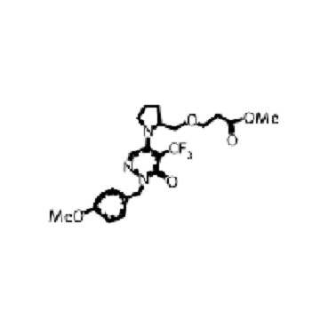 COC(=O)CCOCC1CCCN1c1cnn(Cc2ccc(OC)cc2)c(=O)c1C(F)(F)F